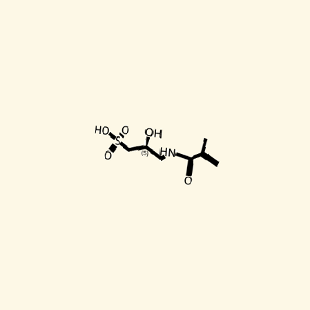 C=C(C)C(=O)NC[C@H](O)CS(=O)(=O)O